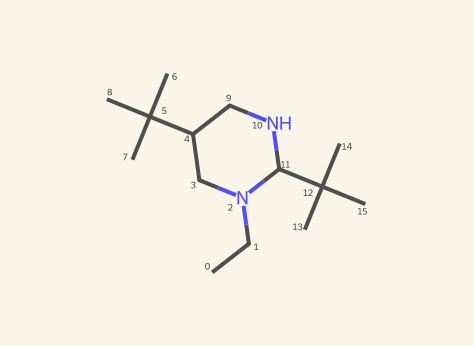 CCN1CC(C(C)(C)C)CNC1C(C)(C)C